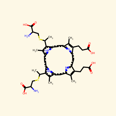 CC1=C(CCC(=O)O)c2cc3nc(cc4[nH]c(cc5[nH]c(cc1n2)c(C)c5C(C)SCC(N)C(=O)O)c(C)c4C(C)SCC(N)C(=O)O)C(C)=C3CCC(=O)O